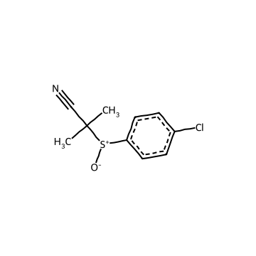 CC(C)(C#N)[S+]([O-])c1ccc(Cl)cc1